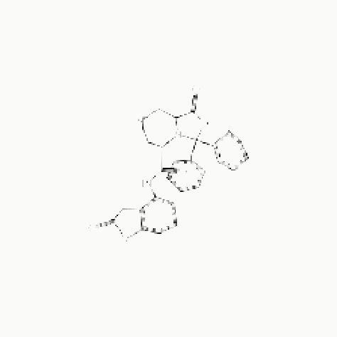 O=C1Cc2c(cccc2NC(=O)C2CNCC3C(=O)OC(c4ccccc4)(c4ccccc4)N23)N1